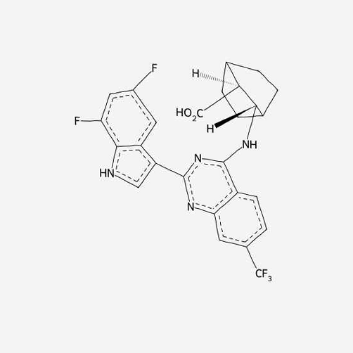 O=C(O)[C@H]1C2CCC(CC2)[C@@H]1Nc1nc(-c2c[nH]c3c(F)cc(F)cc23)nc2cc(C(F)(F)F)ccc12